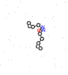 c1cc(-c2ccc3ccc4ccccc4c3c2)cc(-c2ccc3oc4c(-c5cccc(-c6ccc7ccc8ccccc8c7c6)c5)ncnc4c3c2)c1